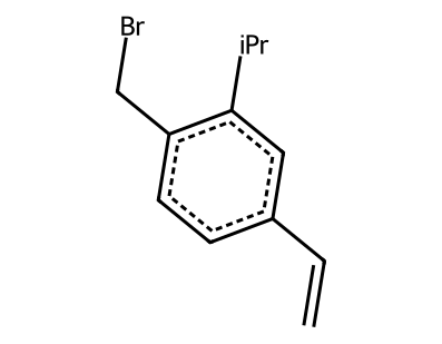 C=Cc1ccc(CBr)c(C(C)C)c1